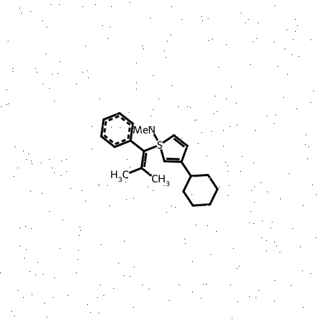 CNS1(C(=C(C)C)c2ccccc2)C=CC(C2CCCCC2)=C1